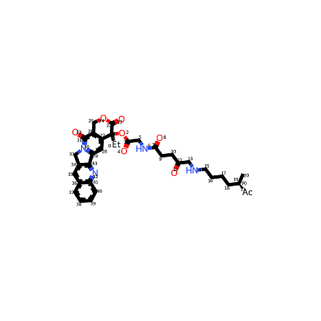 CCC1(OC(=O)CNC(=O)CCC(=O)CNCCCC[C@@H](C)C(C)=O)C(=O)OCc2c1cc1n(c2=O)Cc2cc3ccccc3nc2-1